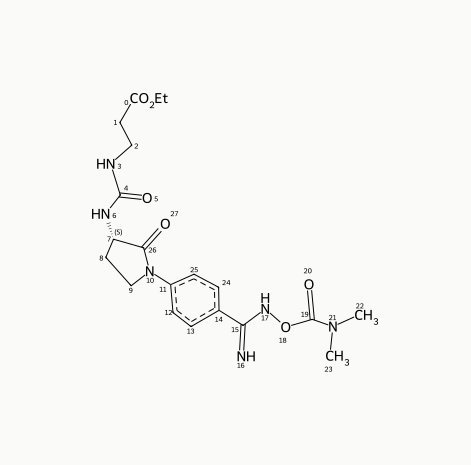 CCOC(=O)CCNC(=O)N[C@H]1CCN(c2ccc(C(=N)NOC(=O)N(C)C)cc2)C1=O